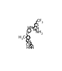 Cc1c(CN2CCC(Nc3nc(N)nc4sc(CC(F)(F)F)cc34)CC2)ccc2c1cc(C#N)n2Cc1cn[nH]c1